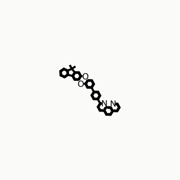 CC1(C)c2ccccc2-c2cc3c(cc21)Oc1ccc(-c2ccc(-c4ccc5ccc6cccnc6c5n4)cc2)cc1O3